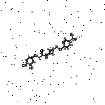 O=C(COc1ccc(Cl)c(F)c1)NC12CC(COc3ccc(C(F)F)cn3)(C1)C2